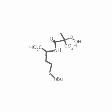 CCCCSCCC(NC(=O)C(C)(OO)C(=O)O)C(=O)O